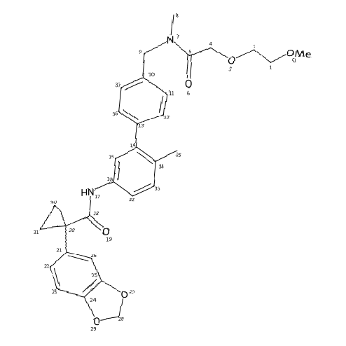 COCCOCC(=O)N(C)Cc1ccc(-c2cc(NC(=O)C3(c4ccc5c(c4)OCO5)CC3)ccc2C)cc1